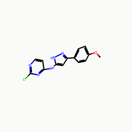 COc1ccc(-c2cc(Nc3ccnc(Cl)n3)[nH]n2)cc1